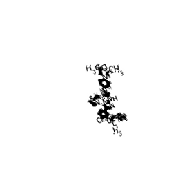 C[C@@H]1CN([C@H]2CC[C@H](n3cc(Nc4ncc(-c5ccc(Cl)c(O[C@@H](C)Cn6cnnn6)c5)cn4)c(OCc4nccs4)n3)CC2)C[C@H](C)O1